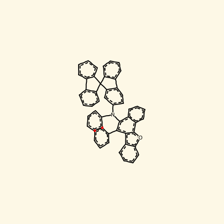 c1ccc(-c2c(N(c3ccccc3)c3ccc4c(c3)C3(c5ccccc5-c5ccccc53)c3ccccc3-4)c3ccccc3c3oc4ccccc4c23)cc1